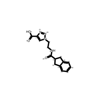 O=C(O)c1cn(CCNC(=O)C2Cc3ccccc3C2)nn1